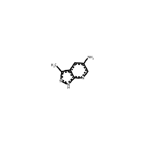 Cc1n[nH]c2ncc(N)cc12